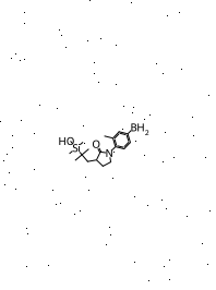 Bc1ccc(N2CCC(CC(C)(C)[Si](C)(C)O)C2=O)c(C)c1